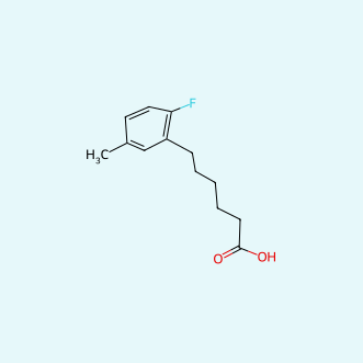 Cc1ccc(F)c(CCCCCC(=O)O)c1